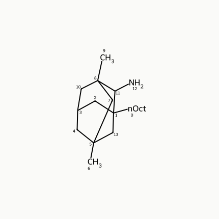 CCCCCCCCC12CC3CC(C)(CC(C)(C3)C1N)C2